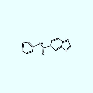 O=C(Nc1ccccc1)n1ccc2ncnc-2c1